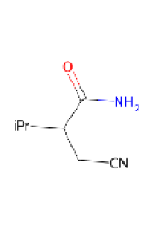 CC(C)C(CC#N)C(N)=O